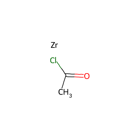 CC(=O)Cl.[Zr]